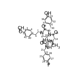 COc1ccc(CCN2C[C@H]3N(C(=O)CN(C)N3C(=O)NCc3ccc(F)cc3)[C@@H](Cc3ccc(O)cc3)C2=O)cc1